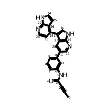 CC#CC(=O)Nc1cccc(-c2cnc3[nH]cc(-c4ccnc5[nH]ccc45)c3c2)c1